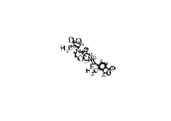 CC1=C(N2CCOC3(CCN(C[C@@H](F)c4ccc5c(c4C)COC5=O)CC3)C2=O)COC1=O